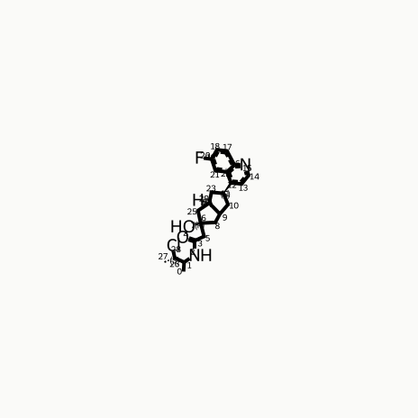 CC(NC(=O)C[C@@]1(O)CC2C[C@H](c3ccnc4ccc(F)cc34)C[C@@H]2C1)[C@H](C)Cl